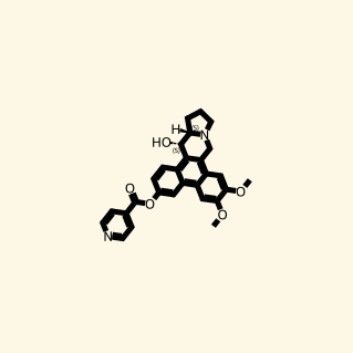 COc1cc2c3c(c4ccc(OC(=O)c5ccncc5)cc4c2cc1OC)[C@H](O)[C@@H]1CCCN1C3